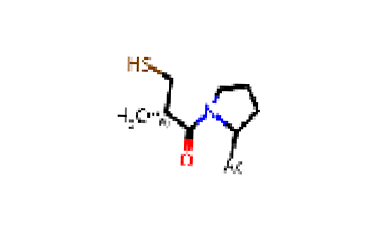 CC(=O)C1CCCN1C(=O)[C@H](C)CS